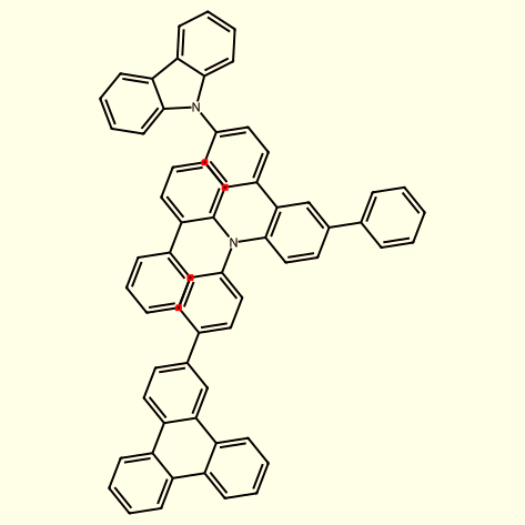 c1ccc(-c2ccc(N(c3ccc(-c4ccc5c6ccccc6c6ccccc6c5c4)cc3)c3ccccc3-c3ccccc3)c(-c3ccc(-n4c5ccccc5c5ccccc54)cc3)c2)cc1